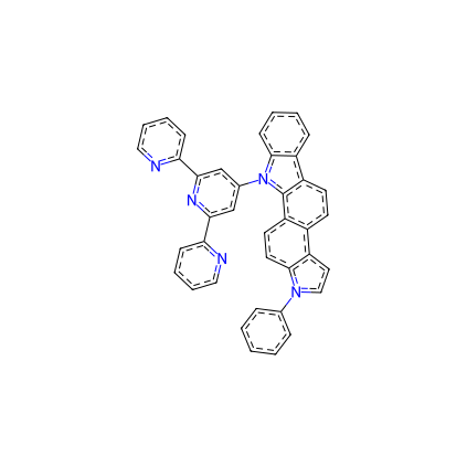 c1ccc(-n2ccc3c4ccc5c6ccccc6n(-c6cc(-c7ccccn7)nc(-c7ccccn7)c6)c5c4ccc32)cc1